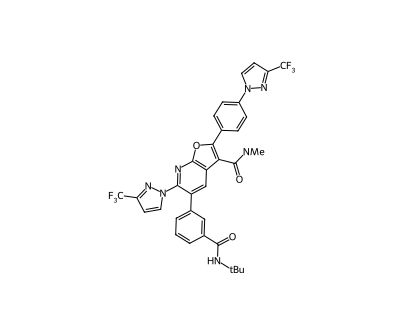 CNC(=O)c1c(-c2ccc(-n3ccc(C(F)(F)F)n3)cc2)oc2nc(-n3ccc(C(F)(F)F)n3)c(-c3cccc(C(=O)NC(C)(C)C)c3)cc12